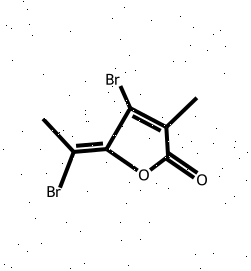 CC1=C(Br)/C(=C(\C)Br)OC1=O